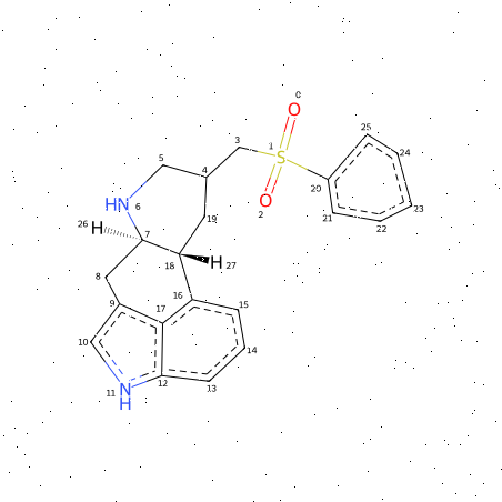 O=S(=O)(CC1CN[C@@H]2Cc3c[nH]c4cccc(c34)[C@H]2C1)c1ccccc1